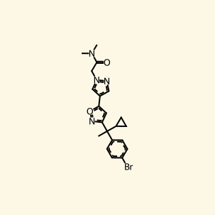 CN(C)C(=O)Cn1cc(-c2cc(C(C)(c3ccc(Br)cc3)C3CC3)no2)cn1